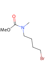 COC(=O)N(C)CCCCBr